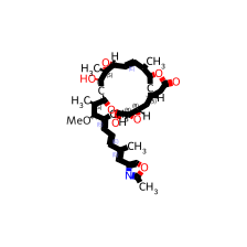 CO[C@@H](/C(C)=C/C=C/C(C)=C/c1coc(C)n1)[C@@H](C)[C@@H]1C[C@H](O)[C@]2(C)O[C@@H]2/C=C/C(C)C2C[C@H](CC(=O)O2)C[C@H]2O[C@H]2C(=O)O1